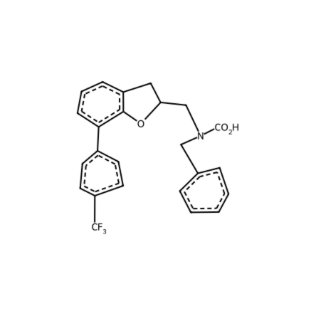 O=C(O)N(Cc1ccccc1)CC1Cc2cccc(-c3ccc(C(F)(F)F)cc3)c2O1